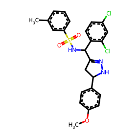 COc1ccc(C2CC(C(NS(=O)(=O)c3cccc(C)c3)c3ccc(Cl)cc3Cl)=NN2)cc1